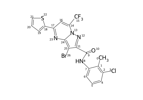 Cc1c(Cl)cccc1NC(=O)c1nn2c(C(F)(F)F)cc(-c3cccs3)nc2c1Br